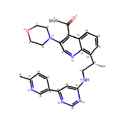 CNC(=O)c1c(N2CCOCC2)cnc2c([C@H](C)CNc3cc(-c4ccc(C)nc4)ncn3)cccc12